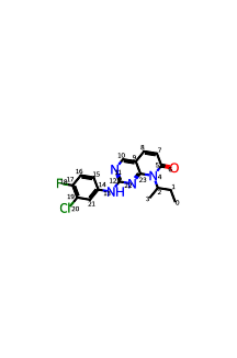 CCC(C)n1c(=O)ccc2cnc(Nc3ccc(F)c(Cl)c3)nc21